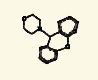 c1ccc2c(c1)Oc1ccccc1C2N1CCOCC1